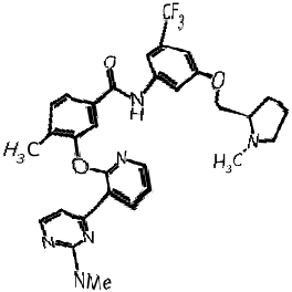 CNc1nccc(-c2cccnc2Oc2cc(C(=O)Nc3cc(OC[C@H]4CCCN4C)cc(C(F)(F)F)c3)ccc2C)n1